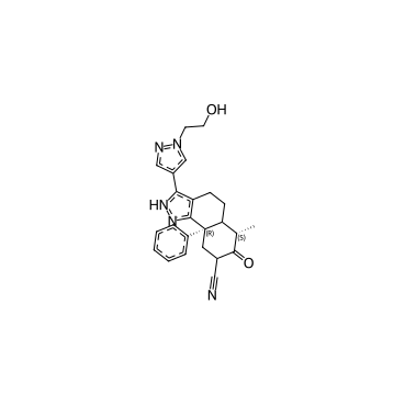 C[C@@H]1C(=O)C(C#N)C[C@@]2(c3ccccc3)c3n[nH]c(-c4cnn(CCO)c4)c3CCC12